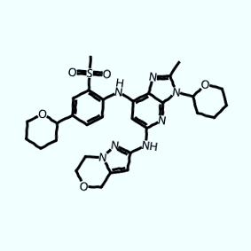 Cc1nc2c(Nc3ccc(C4CCCCO4)cc3S(C)(=O)=O)cc(Nc3cc4n(n3)CCOC4)nc2n1C1CCCCO1